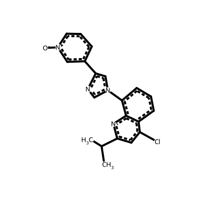 CC(C)c1cc(Cl)c2cccc(-n3cnc(-c4ccc[n+]([O-])c4)c3)c2n1